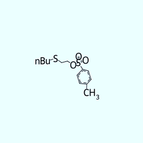 CCCCSCCOS(=O)(=O)c1ccc(C)cc1